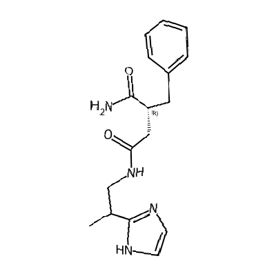 CC(CNC(=O)C[C@@H](Cc1ccccc1)C(N)=O)c1ncc[nH]1